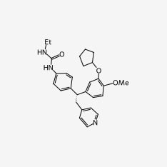 CCNC(=O)Nc1ccc([C@@H](Cc2ccncc2)c2ccc(OC)c(OC3CCCC3)c2)cc1